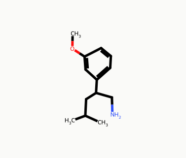 COc1cccc(C(CN)CC(C)C)c1